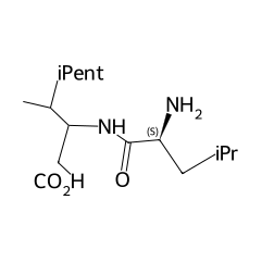 CCCC(C)C(C)C(CC(=O)O)NC(=O)[C@@H](N)CC(C)C